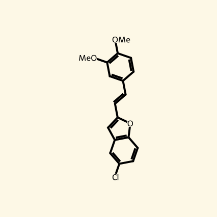 COc1ccc(/C=C/c2cc3cc(Cl)ccc3o2)cc1OC